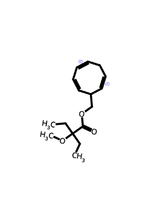 CCC(CC)(OC)C(=O)OCC1C=C/C=C\C/C=C\1